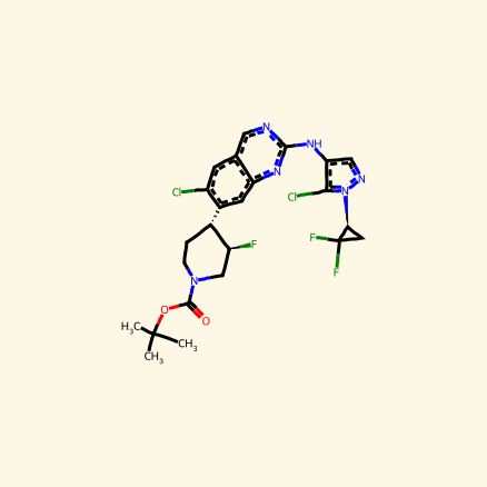 CC(C)(C)OC(=O)N1CC[C@H](c2cc3nc(Nc4cnn([C@H]5CC5(F)F)c4Cl)ncc3cc2Cl)[C@@H](F)C1